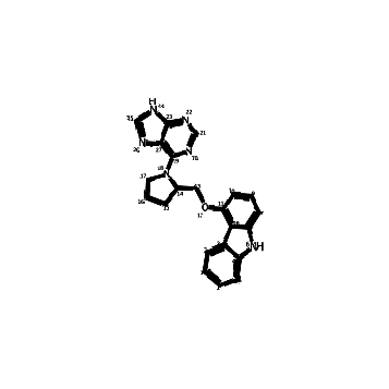 c1ccc2c(c1)[nH]c1cccc(OCC3CCCN3c3ncnc4[nH]cnc34)c12